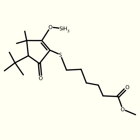 COC(=O)CCCCCSC1=C(O[SiH3])C(C)(C)C(C(C)(C)C)C1=O